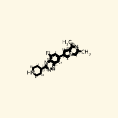 Cc1cn2cc(-c3cc(F)c4nc(C5CCNCC5)nnc4c3)cc2c(C)n1